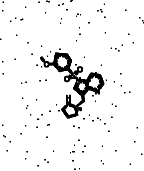 COc1cccc(S(=O)(=O)n2cc(C[C@H]3CCCN3)c3ncccc32)c1